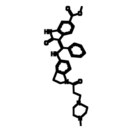 COC(=O)c1ccc2c(c1)NC(=O)/C2=C(\Nc1ccc2c(c1)CCN2C(=O)CCN1CCN(C)CC1)c1ccccc1